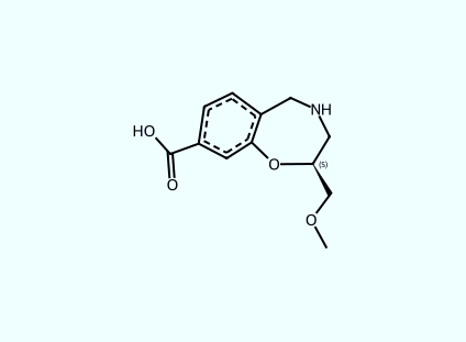 COC[C@@H]1CNCc2ccc(C(=O)O)cc2O1